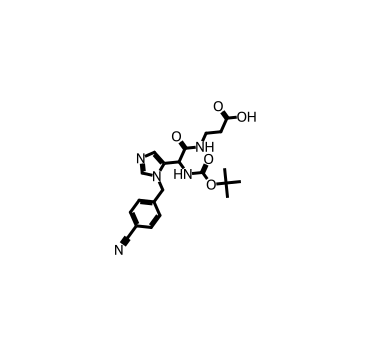 CC(C)(C)OC(=O)NC(C(=O)NCCC(=O)O)c1cncn1Cc1ccc(C#N)cc1